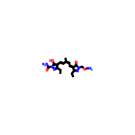 CCC1=NN(CON)C(=O)C1=CC=C(C)C=Cc1c(CC)nn(C(N)=O)c1O